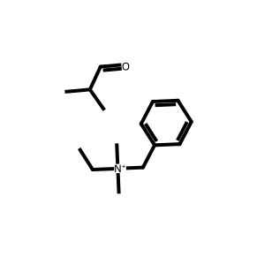 CC(C)C=O.CC[N+](C)(C)Cc1ccccc1